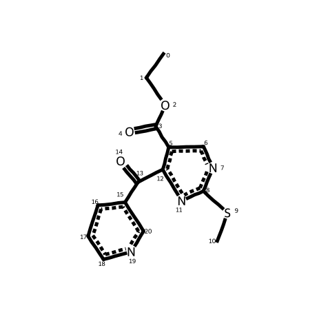 CCOC(=O)c1cnc(SC)nc1C(=O)c1cccnc1